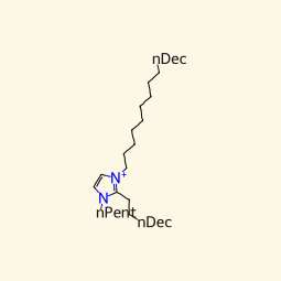 CCCCCCCCCCCCCCCCCCC[n+]1ccn(CCCCC)c1CCCCCCCCCCCC